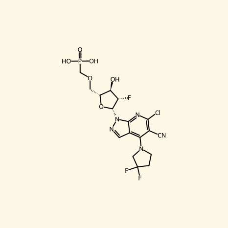 N#Cc1c(Cl)nc2c(cnn2[C@@H]2O[C@H](COCP(=O)(O)O)[C@@H](O)[C@@H]2F)c1N1CCC(F)(F)C1